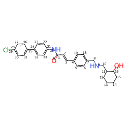 O=C(/C=C/c1ccc(CNCC2CCCCC2O)cc1)Nc1ccc(-c2ccc(Cl)cc2)cc1